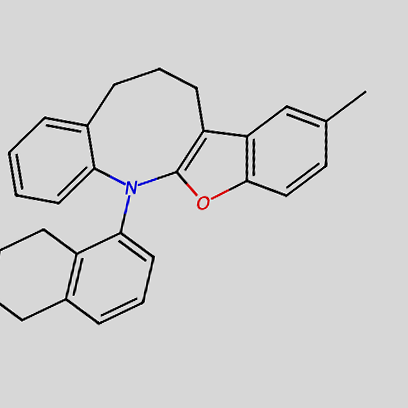 Cc1ccc2oc3c(c2c1)CCCc1ccccc1N3c1cccc2c1CCCC2